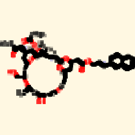 C=C1C[C@H](O)CCOCC[C@@H]2C[C@H](CC(=O)OC/C=C/c3ccc4ccccc4c3)O[C@H](/C=C/C(C)(C)[C@]3(O)OC(C/C(=C\C(=O)OC)[C@@H]3OC(=O)CCCCCCC)C[C@H](CO)O1)O2